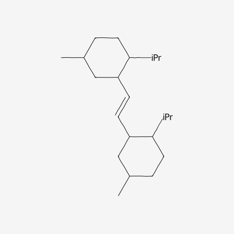 CC1CCC(C(C)C)C(C=CC2CC(C)CCC2C(C)C)C1